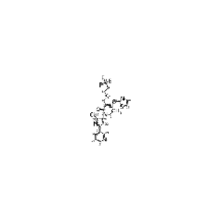 CCN(C(=O)C(CSCCC(F)(F)F)=NOc1nccs1)c1cn(-c2cccnc2)nc1Cl